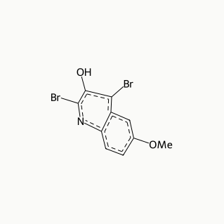 COc1ccc2nc(Br)c(O)c(Br)c2c1